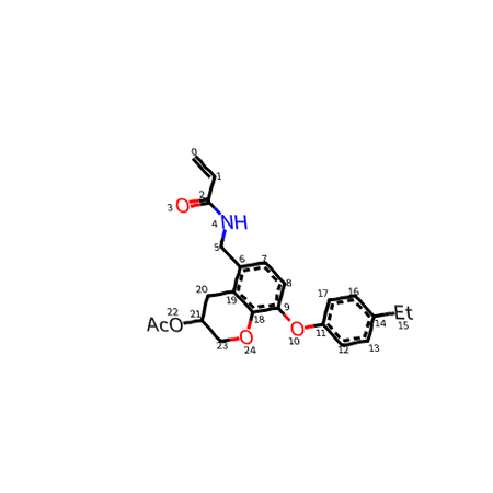 C=CC(=O)NCc1ccc(Oc2ccc(CC)cc2)c2c1CC(OC(C)=O)CO2